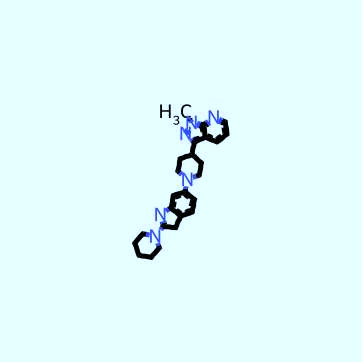 Cn1nc(C2CCN(c3ccc4c(c3)N=C(N3CCCCC3)C4)CC2)c2cccnc21